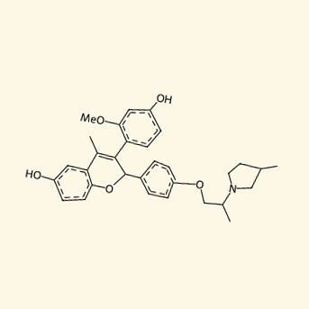 COc1cc(O)ccc1C1=C(C)c2cc(O)ccc2OC1c1ccc(OCC(C)N2CCC(C)C2)cc1